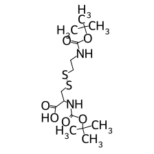 CC(C)(C)OC(=O)NCCSSCC(NC(=O)OC(C)(C)C)C(=O)O